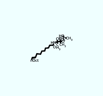 CCCCCCCC/C=C/CCCCCCCC(=O)NC(C)(C)C(C)(C)OP(C)O